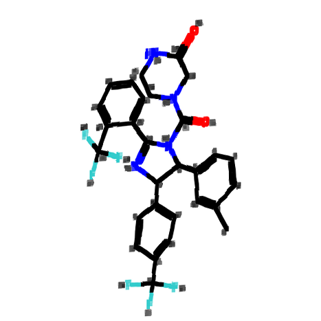 Cc1cccc(C2C(c3ccc(C(F)(F)F)cc3)N=C(c3ccccc3C(F)(F)F)N2C(=O)N2CCNC(=O)C2)c1